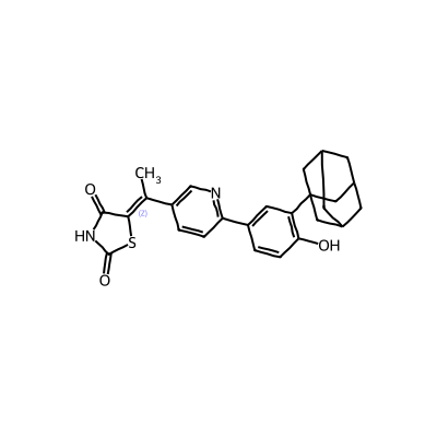 C/C(=C1/SC(=O)NC1=O)c1ccc(-c2ccc(O)c(C34CC5CC(CC(C5)C3)C4)c2)nc1